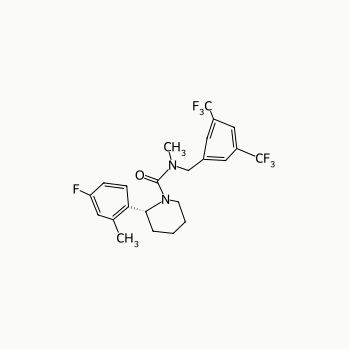 Cc1cc(F)ccc1[C@H]1CCCCN1C(=O)N(C)Cc1cc(C(F)(F)F)cc(C(F)(F)F)c1